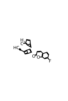 C#Cc1cc2ccc1-2.Cc1ccc2cc1-2.O=c1ccc2ccc(F)cc2o1